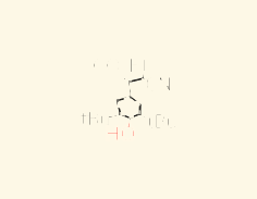 CCOC(=O)C(C#N)=Cc1cc(C(C)(C)C)c(O)c(C(C)(C)C)c1